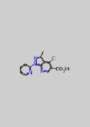 CCOC(=O)c1cnc2c(c(C)nn2-c2ccccn2)c1Cl